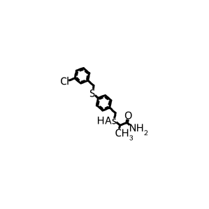 CC([AsH]Cc1ccc(SCc2cccc(Cl)c2)cc1)C(N)=O